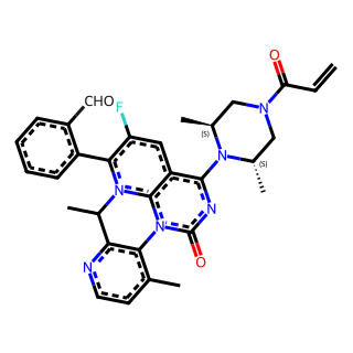 C=CC(=O)N1C[C@H](C)N(c2nc(=O)n3c4c2cc(F)c(-c2ccccc2C=O)[n+]4C(C)c2nccc(C)c2-3)[C@@H](C)C1